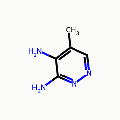 Cc1cnnc(N)c1N